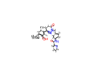 CCC1CC(=O)N(Cc2ccc(NC(=O)c3ccccn3)cc2)N=C1c1ccc(OC)c(O)c1